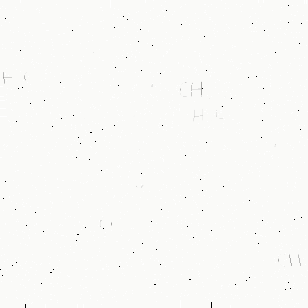 Cc1ccc(C)c(-c2c(-c3cc(C)ccc3C)c2=O)c1